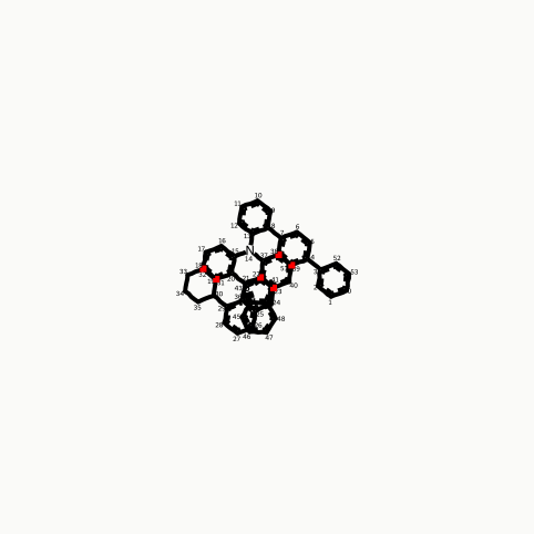 c1ccc(-c2ccc(-c3ccccc3N(c3ccccc3-c3cccc4cccc(C5CCCCC5)c34)c3cccc4c3sc3ccccc34)cc2)cc1